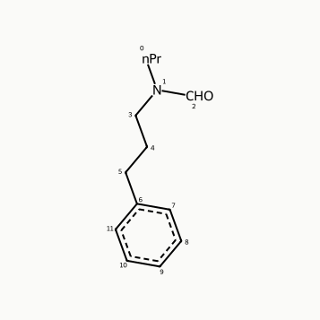 CCCN(C=O)CCCc1ccccc1